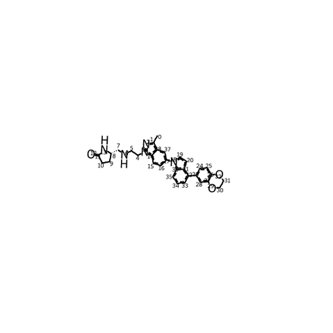 Cc1nn(CCNC[C@@H]2CCC(=O)N2)c2ccc(-n3ccc4c(-c5ccc6c(c5)OCCO6)cccc43)cc12